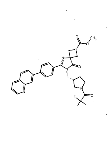 COC(=O)N1CC2(C1)N=C(c1ccc(-c3ccc4cccnc4c3)cc1)N(C[C@@H]1CCN(C(=O)C(F)(F)F)C1)C2=O